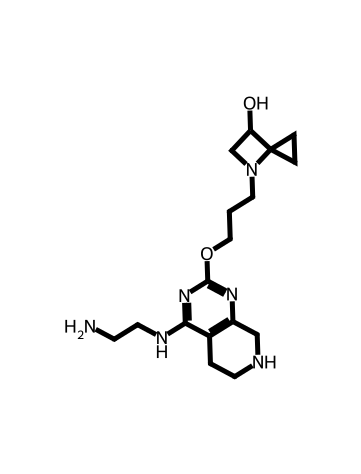 NCCNc1nc(OCCCN2CC(O)C23CC3)nc2c1CCNC2